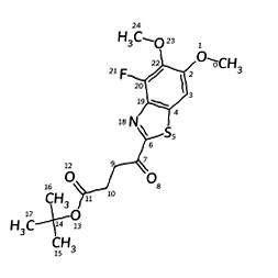 COc1cc2sc(C(=O)CCC(=O)OC(C)(C)C)nc2c(F)c1OC